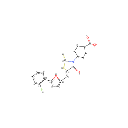 O=C(O)C1CCC(N2C(=O)C(=Cc3ccc(-c4ccccc4F)o3)SC2=S)CC1